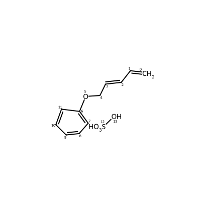 C=CC=CCOc1ccccc1.O=S(=O)(O)O